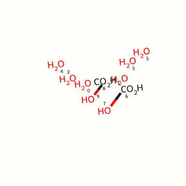 O.O.O.O.O.O.O=C(O)O.O=C(O)O